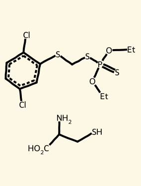 CCOP(=S)(OCC)SCSc1cc(Cl)ccc1Cl.NC(CS)C(=O)O